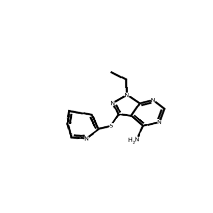 CCn1nc(Sc2ccccn2)c2c(N)ncnc21